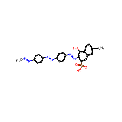 CN=Nc1ccc(N=Nc2ccc(N=Nc3c(S(=O)(=O)O)cc4cc(C)ccc4c3O)cc2)cc1